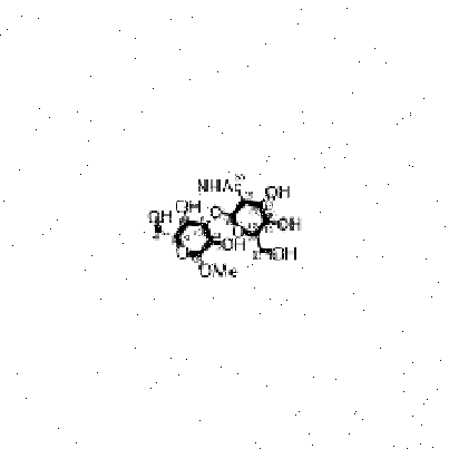 CO[C@@H]1O[C@H](CO)[C@H](O)[C@H](O[C@@H]2O[C@H](CO)[C@H](O)[C@H](O)[C@H]2NC(C)=O)[C@H]1O